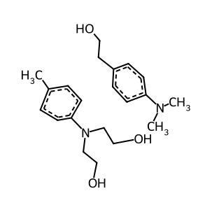 CN(C)c1ccc(CCO)cc1.Cc1ccc(N(CCO)CCO)cc1